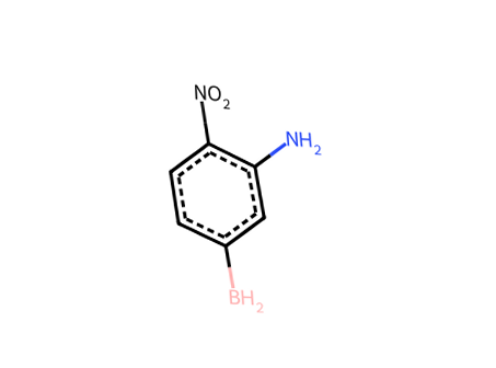 Bc1ccc([N+](=O)[O-])c(N)c1